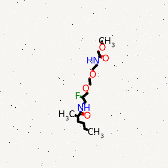 CCCCC(C)C(=O)NCC(F)COCCOCCNC(=O)COC